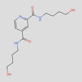 O=C(NCCCCO)c1ccnc(C(=O)NCCCCO)c1